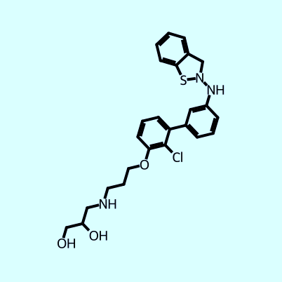 OCC(O)CNCCCOc1cccc(-c2cccc(NN3Cc4ccccc4S3)c2)c1Cl